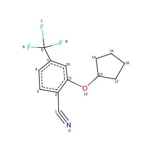 N#Cc1ccc(C(F)(F)F)cc1OC1CCCC1